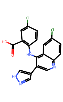 O=C(O)c1cc(Cl)ccc1Nc1c(-c2cn[nH]c2)cnc2ccc(Cl)cc12